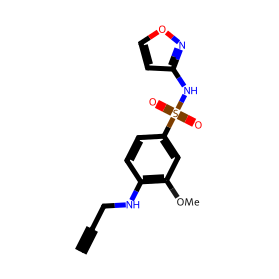 C#CCNc1ccc(S(=O)(=O)Nc2ccon2)cc1OC